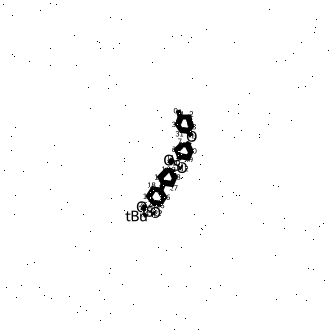 Cc1ccc(Oc2ccc(S(=O)(=O)c3ccc(-c4ccc(S(=O)(=O)C(C)(C)C)cc4)cc3)cc2)cc1